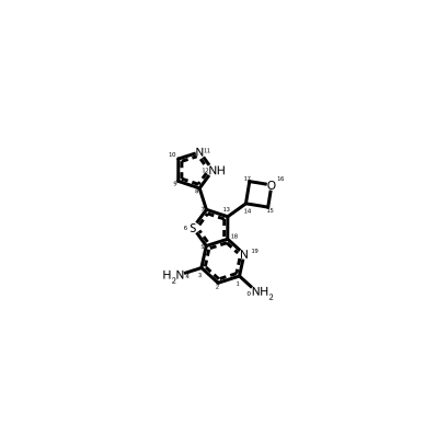 Nc1cc(N)c2sc(-c3ccn[nH]3)c(C3COC3)c2n1